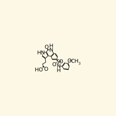 COc1cccc(NS(=O)(=O)c2ccc3[nH]c(=O)c4[nH]cc(CCC(=O)O)c4c3c2)c1